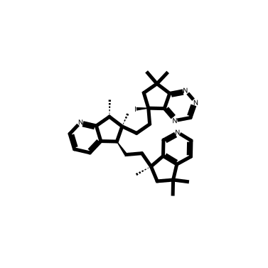 C[C@H]1c2ncccc2[C@H](CC[C@]2(C)CC(C)(C)c3ccncc32)[C@]1(C)CC[C@]1(I)CC(C)(C)c2nncnc21